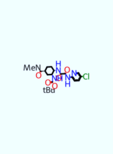 CNC(=O)[C@H]1CC[C@H](NC(=O)C(=O)Nc2ccc(Cl)cn2)[C@H](NC(=O)OC(C)(C)C)C1